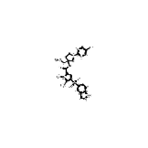 COC[C@@]1(NC(=O)c2cc(S(=O)(=O)c3ccc4[nH]ncc4c3)c(C)n2C)CCN(c2ncc(F)cn2)C1